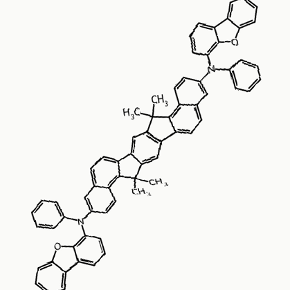 CC1(C)c2cc3c(cc2-c2ccc4cc(N(c5ccccc5)c5cccc6c5oc5ccccc56)ccc4c21)C(C)(C)c1c-3ccc2cc(N(c3ccccc3)c3cccc4c3oc3ccccc34)ccc12